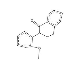 COc1ccccc1C1CCc2ccccc2C1=O